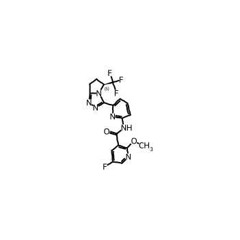 COc1ncc(F)cc1C(=O)Nc1cccc(-c2nnc3n2[C@H](C(F)(F)F)CC3)n1